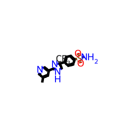 Cc1cncc(C2=NC(c3ccc(S(N)(=O)=O)cc3)(C(F)(F)F)CN2)c1